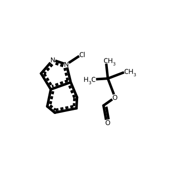 CC(C)(C)OC=O.Cln1ncc2ccccc21